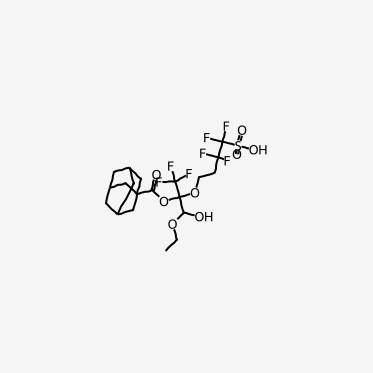 CCOC(O)C(OCCC(F)(F)C(F)(F)S(=O)(=O)O)(OC(=O)C12CC3CC(CC(C3)C1)C2)C(F)(F)F